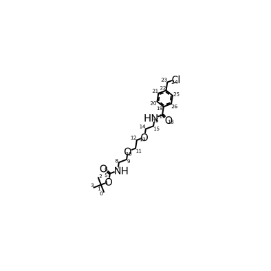 CC(C)(C)OC(=O)NCCOCCOCCNC(=O)c1ccc(CCl)cc1